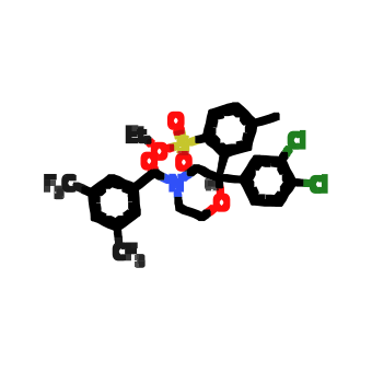 CCOS(=O)(=O)c1ccc(C)cc1[C@]1(c2ccc(Cl)c(Cl)c2)CN(C(=O)c2cc(C(F)(F)F)cc(C(F)(F)F)c2)CCO1